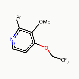 COc1c(OCC(F)(F)F)ccnc1C(C)C